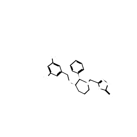 Cc1cc(C)cc(CO[C@@H]2CCCN(Cc3n[nH]c(=O)[nH]3)[C@@H]2c2ccccc2)c1